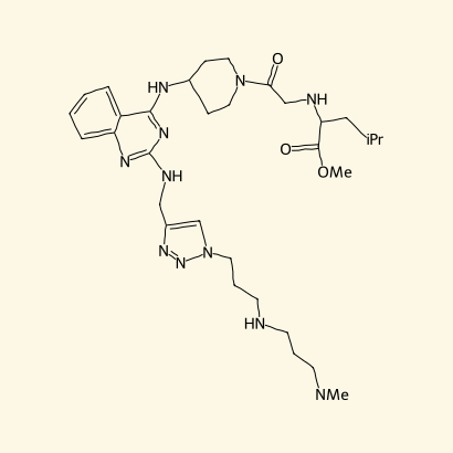 CNCCCNCCCn1cc(CNc2nc(NC3CCN(C(=O)CNC(CC(C)C)C(=O)OC)CC3)c3ccccc3n2)nn1